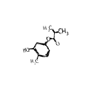 C=C(C)C(=O)Oc1ccc(C)c(O)c1